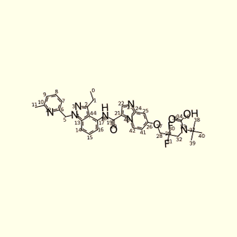 CCc1nn(Cc2cccc(C)n2)c2cccc(NC(=O)c3cnc4cc(OCC(F)(F)CN(C(=O)O)C(C)(C)C)ccn34)c12